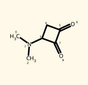 CN(C)C1CC(=O)C1=O